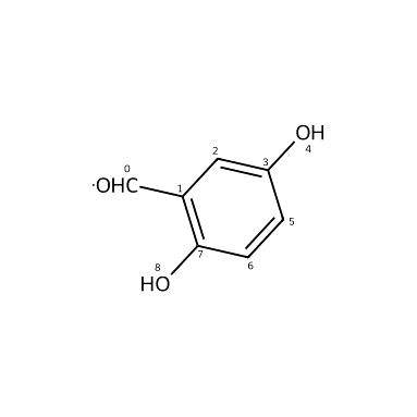 O=[C]c1cc(O)ccc1O